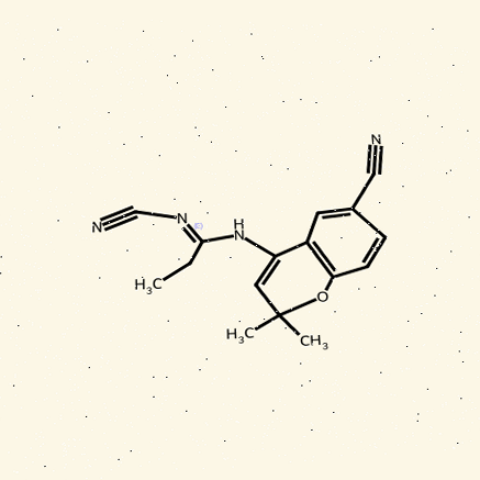 CC/C(=N\C#N)NC1=CC(C)(C)Oc2ccc(C#N)cc21